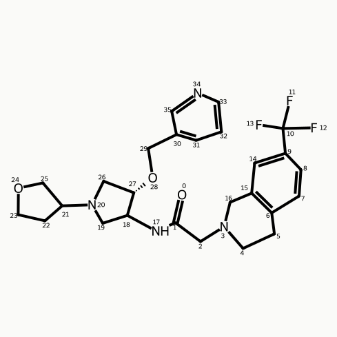 O=C(CN1CCc2ccc(C(F)(F)F)cc2C1)NC1CN(C2CCOC2)C[C@@H]1OCc1cccnc1